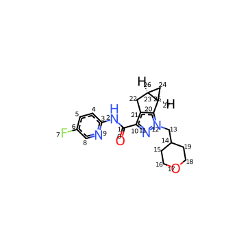 O=C(Nc1ccc(F)cn1)c1nn(CC2CCOCC2)c2c1C[C@H]1C[C@@H]21